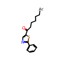 CC(=O)CCCCCC(=O)c1cnc(-c2ccccc2)s1